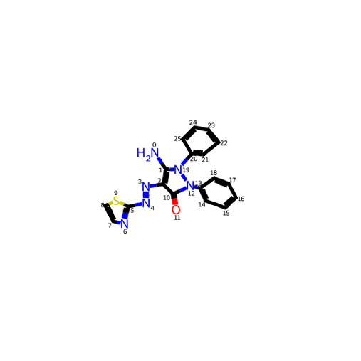 Nc1c(N=Nc2nccs2)c(=O)n(-c2ccccc2)n1-c1ccccc1